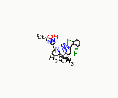 CCC(O)Cn1cc(-c2cccc([C@@]34CC[C@@H](c5cc(-c6c(F)cccc6F)nnc53)C4(C)C)n2)cn1